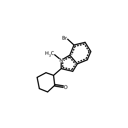 Cn1c(C2CCCCC2=O)cc2cccc(Br)c21